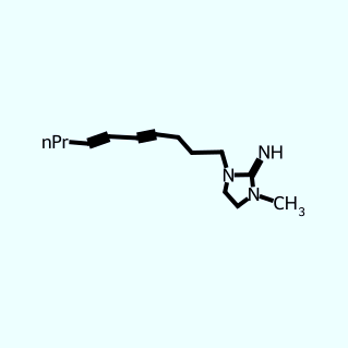 CCCC#CC#CCCCN1CCN(C)C1=N